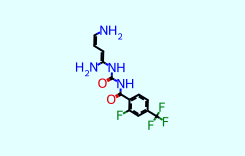 N/C=C\C=C(/N)NC(=O)NC(=O)c1ccc(C(F)(F)F)cc1F